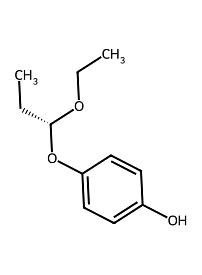 CCO[C@@H](CC)Oc1ccc(O)cc1